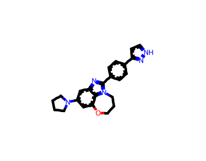 c1cc(-c2ccc(-c3nc4cc(N5CCCC5)cc5c4n3CCCO5)cc2)n[nH]1